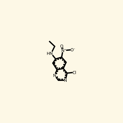 CCNc1cc2ncnc(Cl)c2cc1[N+](=O)[O-]